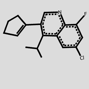 CC(C)c1c(C2=CCCC2)cnc2c(F)cc(Cl)cc12